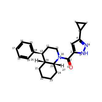 O=C(c1cc(C2CC2)n[nH]1)N1CC[C@H](c2ccccc2)[C@H]2CCCC[C@H]21